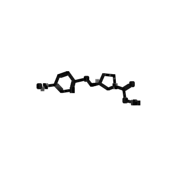 CC(C)(C)OC(=O)N1CC[C@H](COc2ccc([N+](=O)[O-])cn2)C1